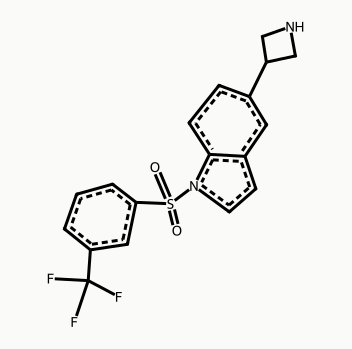 O=S(=O)(c1cccc(C(F)(F)F)c1)n1ccc2cc(C3CNC3)ccc21